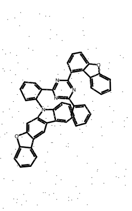 c1ccc(-c2nc(-c3ccccc3-n3c4ccccc4c4cc5c(cc43)oc3ccccc35)nc(-c3cccc4oc5ccccc5c34)n2)cc1